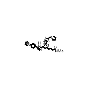 CNC(=O)CCCCCC(NC(=O)c1cnc(CN2CCCC2)s1)c1ncc(-c2ccc(-n3cccn3)cc2)[nH]1